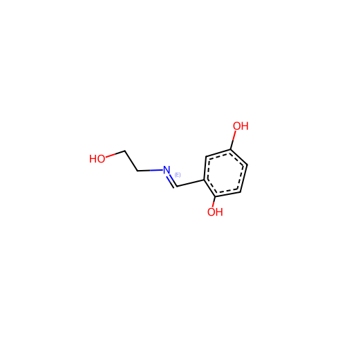 OCC/N=C/c1cc(O)ccc1O